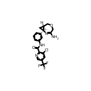 NC1=N[C@@]2(c3cccc(NC(=O)c4ncc(C(F)(F)F)cc4Cl)c3)C[C@H]2COC1